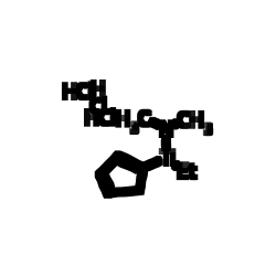 C[CH2][Ti]([C]1=CC=CC1)[N](C)C.Cl.Cl.Cl